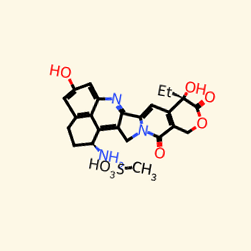 CC[C@@]1(O)C(=O)OCc2c1cc1n(c2=O)Cc2c-1nc1cc(O)cc3c1c2[C@@H](N)CC3.CS(=O)(=O)O